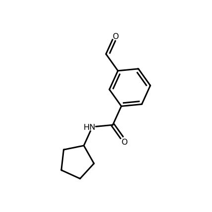 O=Cc1cccc(C(=O)NC2CCCC2)c1